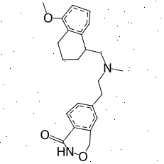 COc1cccc2c1CCCC2CN(C)CCc1ccc2c(c1)CONC2=O